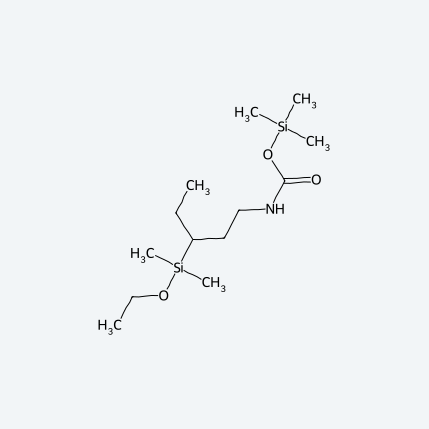 CCO[Si](C)(C)C(CC)CCNC(=O)O[Si](C)(C)C